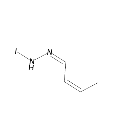 C/C=C\C=N/NI